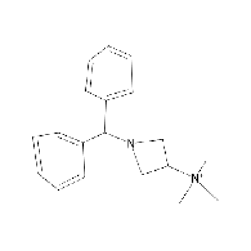 C[N+](C)(C)C1CN(C(c2ccccc2)c2ccccc2)C1